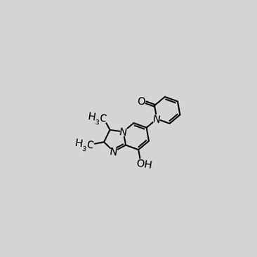 CC1N=C2C(O)=CC(n3ccccc3=O)=CN2C1C